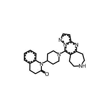 O=C1CCc2ccccc2N1C1CCN(c2c3c(nc4ccnn24)CCNCC3)CC1